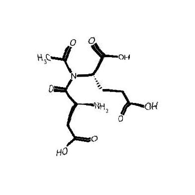 CC(=O)N(C(=O)[C@@H](N)CC(=O)O)[C@@H](CCC(=O)O)C(=O)O